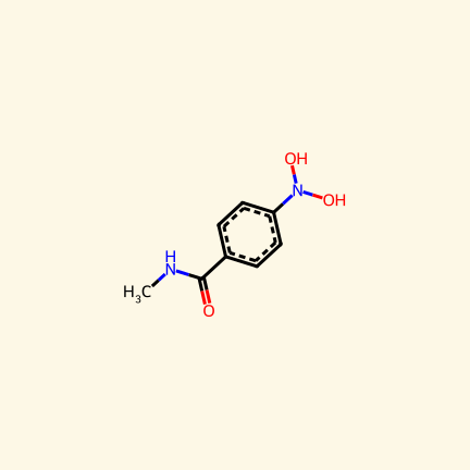 CNC(=O)c1ccc(N(O)O)cc1